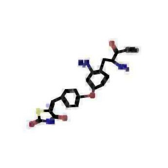 COC(=O)C(N)Cc1ccc(Oc2ccc(/C=C3/SC(=O)NC3=O)cc2)cc1N